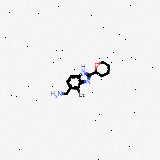 CCc1c(CN)ccc2[nH]c(C3CCCCO3)nc12